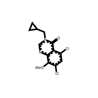 COc1c(Cl)cc(Cl)c2c(=O)n(CC3CC3)cnc12